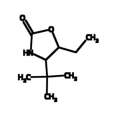 CCC1OC(=O)NC1C(C)(C)C